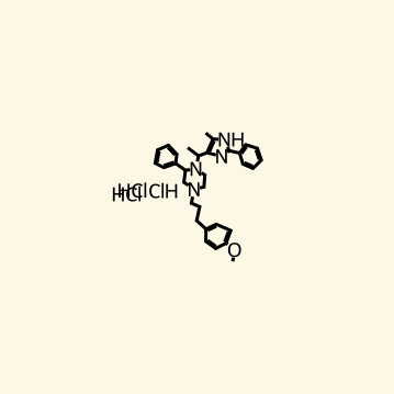 COc1ccc(CCCN2CCN(C(C)c3nc(-c4ccccc4)[nH]c3C)C(c3ccccc3)C2)cc1.Cl.Cl.Cl